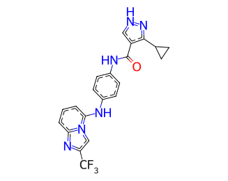 O=C(Nc1ccc(Nc2cccc3nc(C(F)(F)F)cn23)cc1)c1c[nH]nc1C1CC1